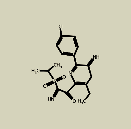 CCC1=C(C(=O)C(=N)S(=O)(=O)C(C)C)N=C(c2ccc(Cl)cc2)C(=N)C1